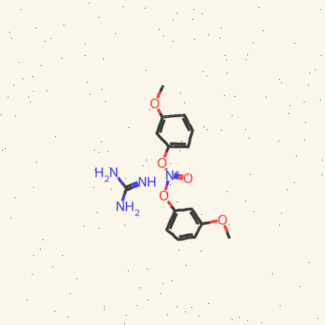 COc1cccc(O[N+](=O)Oc2cccc(OC)c2)c1.N=C(N)N